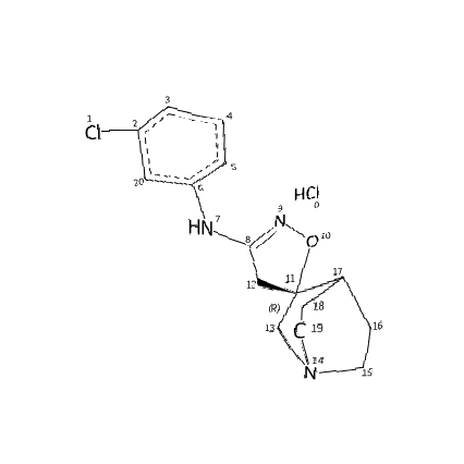 Cl.Clc1cccc(NC2=NO[C@@]3(C2)CN2CCC3CC2)c1